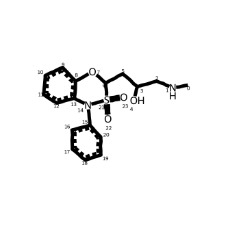 CNCC(O)CC1Oc2ccccc2N(c2ccccc2)S1(=O)=O